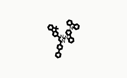 CC1(C)c2ccccc2-c2ccc(-c3cc(-c4ccc(-c5ccccc5)cc4)nc(-n4c5ccccc5c5cc(-n6c7ccccc7c7ccccc76)ccc54)n3)cc21